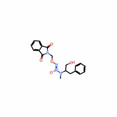 CN(C(CO)Cc1ccccc1)[N+]([O-])=NOCN1C(=O)c2ccccc2C1=O